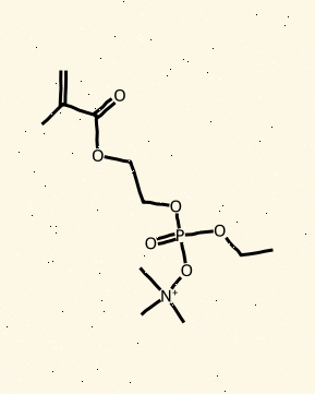 C=C(C)C(=O)OCCOP(=O)(OCC)O[N+](C)(C)C